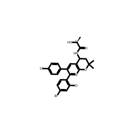 C[C@H](O)C(=O)NC1CC(C)(C)Oc2nc(-c3ccc(Br)cc3Cl)c(-c3ccc(Cl)cc3)cc21